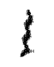 COc1ccc(-c2ccc(Oc3c(F)c(F)c(-c4c(F)c(F)c(Oc5ccc(-c6ccc(Oc7c(F)c(F)c(-c8c(F)c(F)c(Oc9ccc(-c%10ccc(Oc%11ccc(S(=O)(=O)c%12ccc(C)cc%12)cc%11S(=O)(=O)O)cc%10)cc9)c(F)c8F)c(F)c7F)cc6)cc5)c(F)c4F)c(F)c3F)cc2)cc1